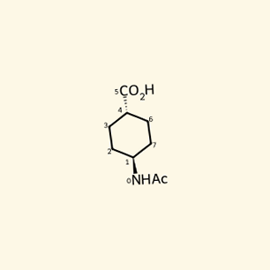 CC(=O)N[C@H]1CC[C@H](C(=O)O)CC1